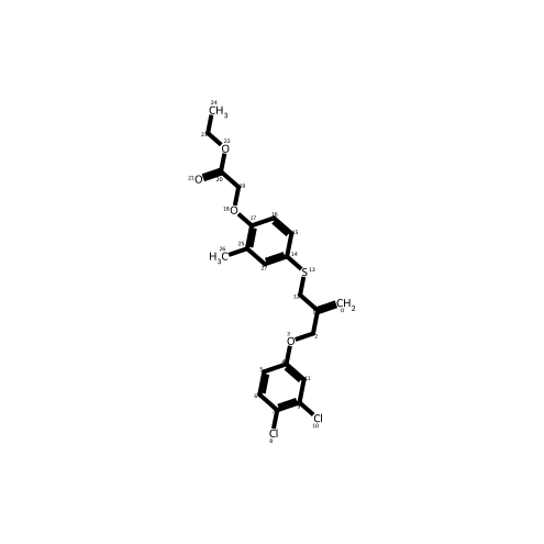 C=C(COc1ccc(Cl)c(Cl)c1)CSc1ccc(OCC(=O)OCC)c(C)c1